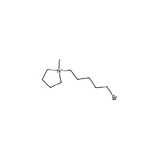 C[N+]1(CCCCCBr)CCCC1